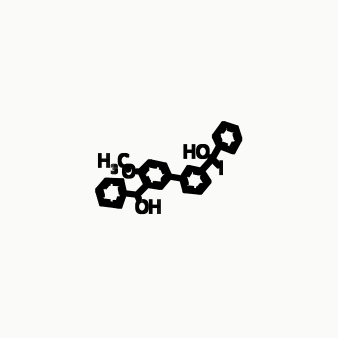 COc1ccc(-c2cccc(C(O)(I)c3ccccc3)c2)cc1C(O)c1ccccc1